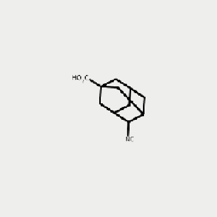 [C-]#[N+]C1C2CC3CC1CC(C(=O)O)(C3)C2